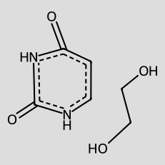 O=c1cc[nH]c(=O)[nH]1.OCCO